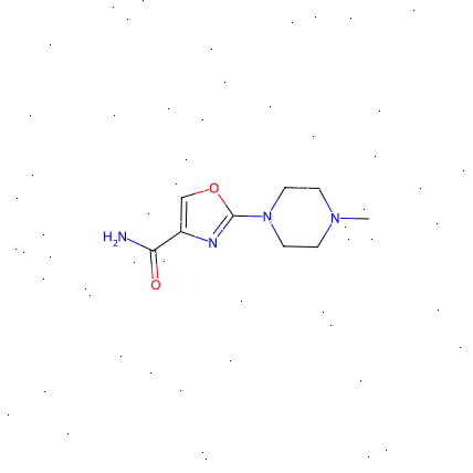 CN1CCN(c2nc(C(N)=O)co2)CC1